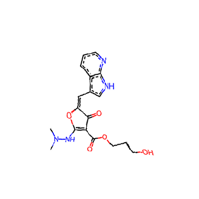 CN(C)NC1=C(C(=O)OCCCO)C(=O)C(=Cc2c[nH]c3ncccc23)O1